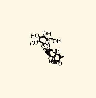 CC1=C[C@H]2O[C@@H]3[C@H](O[C@@H]4O[C@H](CO)[C@@H](O)[C@H](O)[C@H]4O)C[C@](C)([C@@]2(CO)[C@H](O)C1=O)[C@]31CO1